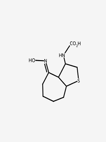 O=C(O)NC1CSC2CCCCC(=NO)C12